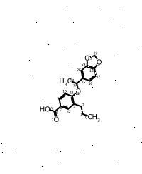 CCCc1cc(C(=O)O)ccc1OC(C)c1ccc2c(c1)OCO2